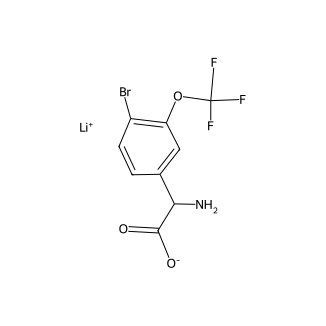 NC(C(=O)[O-])c1ccc(Br)c(OC(F)(F)F)c1.[Li+]